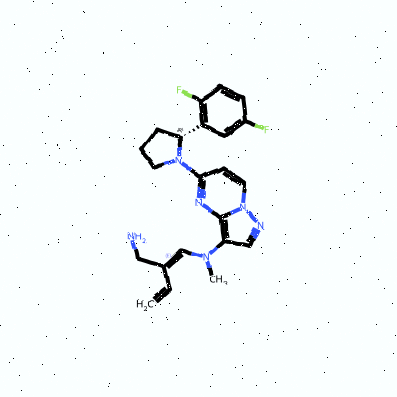 C=C/C(=C\N(C)c1cnn2ccc(N3CCC[C@@H]3c3cc(F)ccc3F)nc12)CN